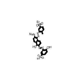 CCS(=O)(=O)c1ccc(C)c(/N=N/c2c(NC)ccc3c(O)c(/N=N/c4cc(S(=O)(=O)CC)ccc4O)ccc23)c1